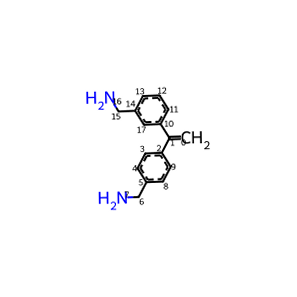 C=C(c1ccc(CN)cc1)c1cccc(CN)c1